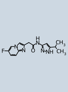 CC(C)c1cc(NC(=O)Cc2cn3cc(F)ccc3n2)n[nH]1